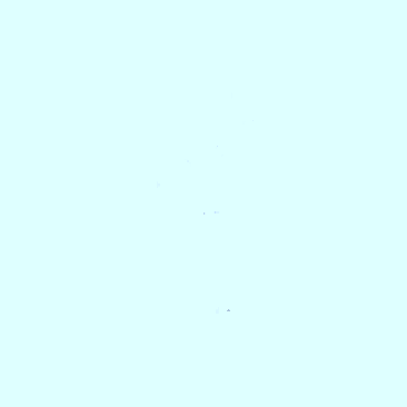 CC/C=C\CC(=O)O[C@@H](CO)COC(=O)CCCCCCCCCCCCCCC